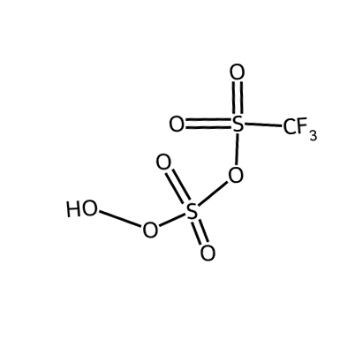 O=S(=O)(OO)OS(=O)(=O)C(F)(F)F